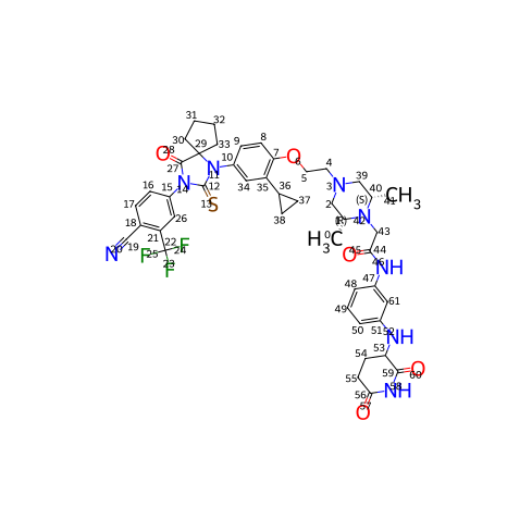 C[C@@H]1CN(CCOc2ccc(N3C(=S)N(c4ccc(C#N)c(C(F)(F)F)c4)C(=O)C34CCCC4)cc2C2CC2)C[C@H](C)N1CC(=O)Nc1cccc(NC2CCC(=O)NC2=O)c1